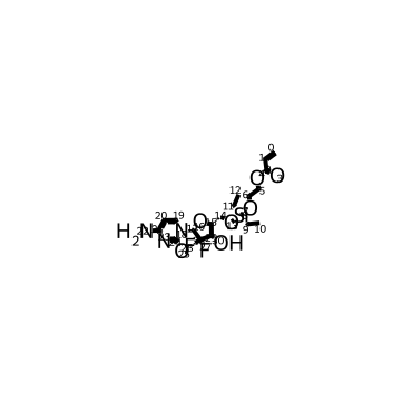 C=CC(=O)OCCO[Si](CC)(CC)OC[C@H]1O[C@@H](n2ccc(N)nc2=O)C(F)(F)C1O